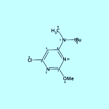 COc1nc(Cl)cc(N(C)C(C)(C)C)n1